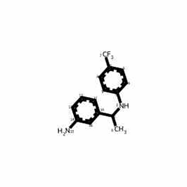 CC(Nc1ccc(C(F)(F)F)cc1)c1cc[c]c(N)c1